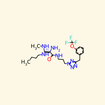 CCCCN/C(NC)=C(/N)C(=O)NCCCn1nnc(Cc2cccc(OC(F)(F)F)c2)n1